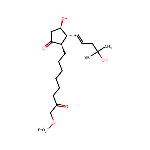 CCCCC(C)(O)CC=C[C@H]1[C@H](O)CC(=O)[C@@H]1CCCCCCC(=O)COC(=O)OCC